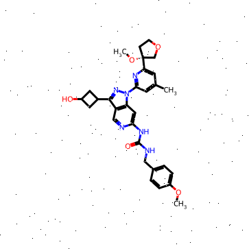 COc1ccc(CNC(=O)Nc2cc3c(cn2)c(C2CC(O)C2)nn3-c2cc(C)cc([C@@]3(OC)CCOC3)n2)cc1